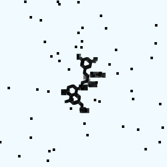 CC(=O)N[C@@H](Cc1cc(F)cc(F)c1)[C@H](O)CNC1CCNc2c(C)cc(CC(C)(C)C)cc21